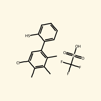 Cc1c(Cl)cc(-c2ccccc2S)c(C)c1C.O=S(=O)(O)C(F)(F)F